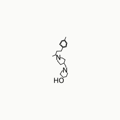 Cc1ccc(CCC(C)N2CCC(CN3CCC(O)CC3)CC2)cc1